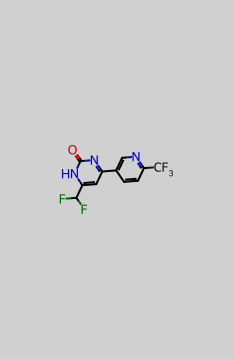 O=c1nc(-c2ccc(C(F)(F)F)nc2)cc(C(F)F)[nH]1